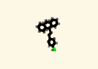 Clc1ccc(C=Cc2c3ccccc3cc3ccccc23)cc1